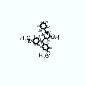 COc1ccc(C(c2ccc(OC)cc2)c2cc(O)nc(-c3ccccc3)n2)cc1